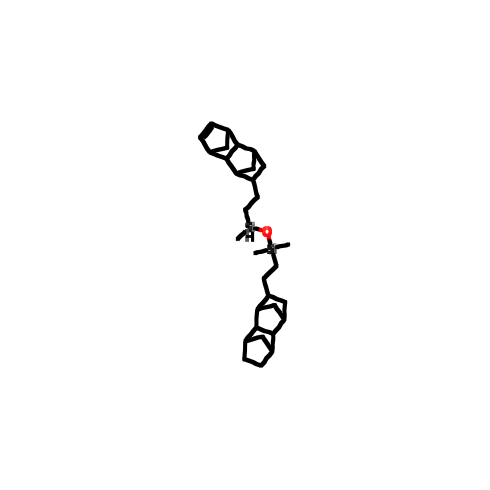 C[SiH](CCC1CC2CC1C1C3C=CC(C3)C21)O[Si](C)(C)CCC1CC2CC1C1C3CCC(C3)C21